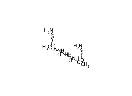 CC(OCCCSCCN)OCCNC(=O)CCNCCC(=O)NCCOC(C)OCCCSCCN